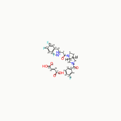 NC(CC(=O)N1CC[C@H]2CN(C(=O)c3cccc(F)c3)C[C@H]21)Cc1cc(F)c(F)cc1F.O=C(O)C=CC(=O)O